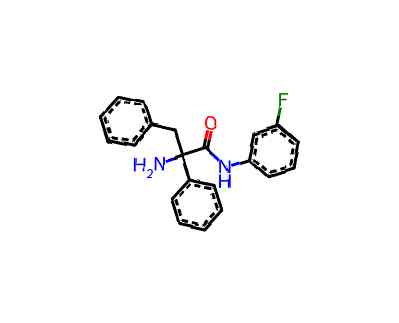 NC(Cc1ccccc1)(C(=O)Nc1cccc(F)c1)c1ccccc1